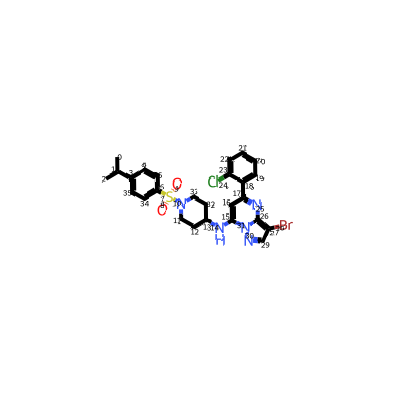 CC(C)c1ccc(S(=O)(=O)N2CCC(Nc3cc(-c4ccccc4Cl)nc4c(Br)cnn34)CC2)cc1